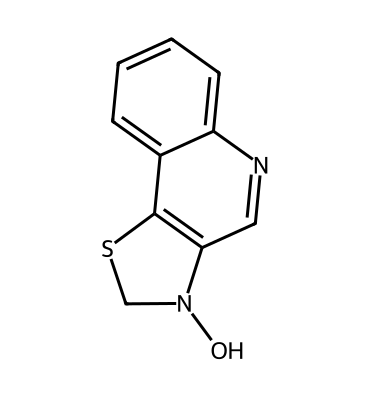 ON1CSc2c1cnc1ccccc21